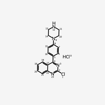 Cl.Clc1nc(-c2ccc(N3CCNCC3)cc2)c2ccccc2n1